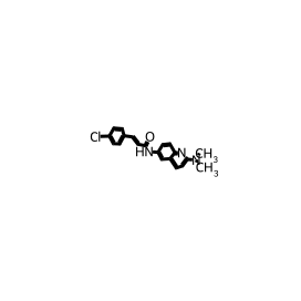 CN(C)c1ccc2cc(NC(=O)C=Cc3ccc(Cl)cc3)ccc2n1